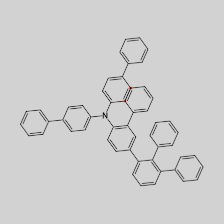 c1ccc(-c2ccc(N(c3ccc(-c4ccccc4)cc3)c3ccc(-c4cccc(-c5ccccc5)c4-c4ccccc4)cc3-c3ccccc3)cc2)cc1